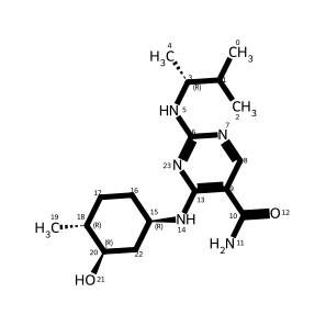 CC(C)[C@@H](C)Nc1ncc(C(N)=O)c(N[C@@H]2CC[C@@H](C)[C@H](O)C2)n1